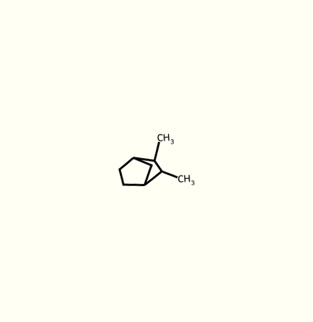 CC1C2CCC(C2)C1C